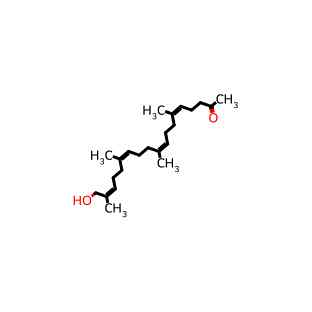 CC(=O)CCC=C(C)CCC=C(C)CCC=C(C)CCC=C(C)CO